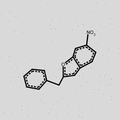 O=[N+]([O-])c1ccc2cc(Cc3ccccc3)oc2c1